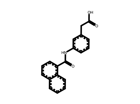 O=C(O)Cc1cccc(NC(=O)c2cccc3ccccc23)c1